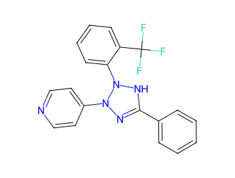 FC(F)(F)c1ccccc1N1NC(c2ccccc2)=NN1c1ccncc1